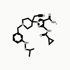 CC(C)SNc1cccc(CN2CCC(CC#N)(n3cc(C(N)=O)c(NC(=O)C4CC4)n3)CC2)c1